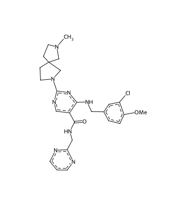 COc1ccc(CNc2nc(N3CCC4(CCN(C)C4)C3)ncc2C(=O)NCc2ncccn2)cc1Cl